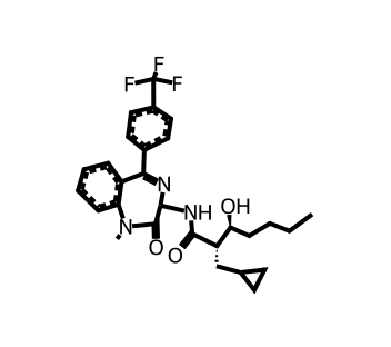 CCCC[C@H](O)[C@H](CC1CC1)C(=O)NC1N=C(c2ccc(C(F)(F)F)cc2)c2ccccc2N(C)C1=O